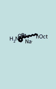 CCCCCCCC/C=C\CCCCCCCC(=O)c1cccc(N)c1OC.[Na]